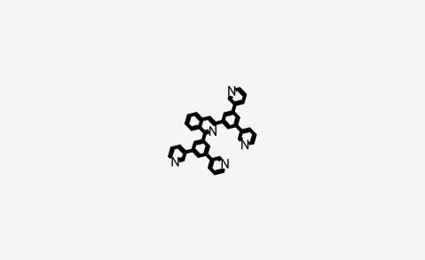 c1cncc(-c2cc(-c3cccnc3)cc(-c3cc4ccccc4c(-c4cc(-c5cccnc5)cc(-c5cccnc5)c4)n3)c2)c1